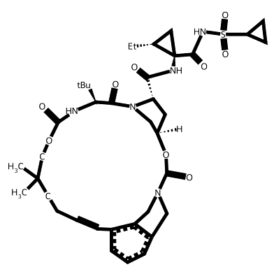 CC[C@@H]1C[C@]1(NC(=O)[C@@H]1C[C@@H]2CN1C(=O)[C@H](C(C)(C)C)NC(=O)OCC(C)(C)CC/C=C/c1cccc3c1CN(C3)C(=O)O2)C(=O)NS(=O)(=O)C1CC1